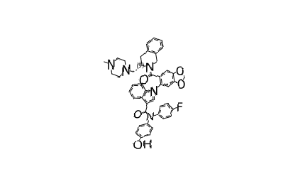 CN1CCN(C[C@@H]2Cc3ccccc3CN2C(=O)c2cc3c(cc2-n2cc(C(=O)N(c4ccc(O)cc4)c4ccc(F)cc4)c4ccccc42)OCO3)CC1